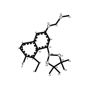 CCc1c(F)ccc2cc(OCOC)cc(B3OC(C)(C)C(C)(C)O3)c12